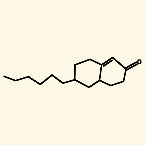 CCCCCCC1CCC2=CC(=O)CCC2C1